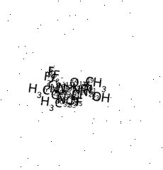 Cc1cc(C(F)(F)F)cc(N2C[C@@H](C(=O)Nc3cc(C)n(CCO)n3)C[C@H]2C(=O)N(C)c2ccc(F)c(Cl)c2)n1